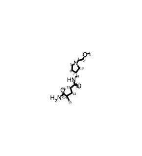 COCCN1CC[C@@H](CNC(=O)[CH]CC(C)C(N)=O)C1